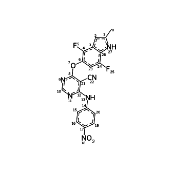 Cc1cc2c(F)c(Oc3ncnc(Nc4ccc([N+](=O)[O-])cc4)c3C#N)cc(F)c2[nH]1